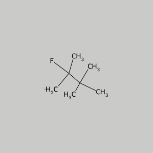 [CH2]C(C)(F)C(C)(C)C